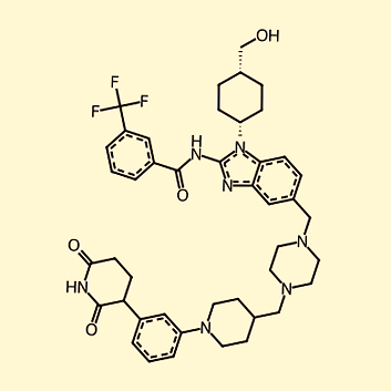 O=C1CCC(c2cccc(N3CCC(CN4CCN(Cc5ccc6c(c5)nc(NC(=O)c5cccc(C(F)(F)F)c5)n6[C@H]5CC[C@@H](CO)CC5)CC4)CC3)c2)C(=O)N1